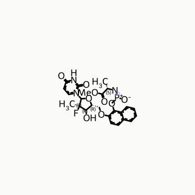 COC(=O)[C@H](C)/N=[P+](/[O-])Oc1c(OC[C@H]2OC(n3ccc(=O)[nH]c3=O)[C@](C)(F)[C@@H]2O)ccc2ccccc12